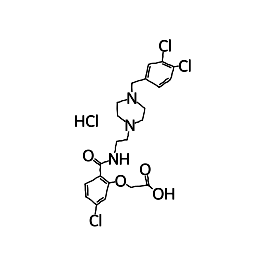 Cl.O=C(O)COc1cc(Cl)ccc1C(=O)NCCN1CCN(Cc2ccc(Cl)c(Cl)c2)CC1